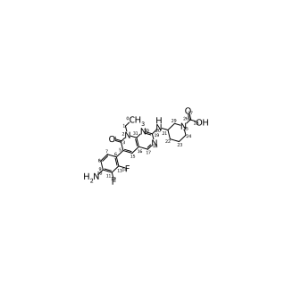 CCn1c(=O)c(-c2ccc(N)c(F)c2F)cc2cnc(NC3CCCN(C(=O)O)C3)nc21